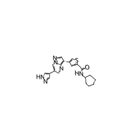 O=C(NC1CCCCC1)c1cc(-c2cnn3cc(-c4cn[nH]c4)cnc23)cs1